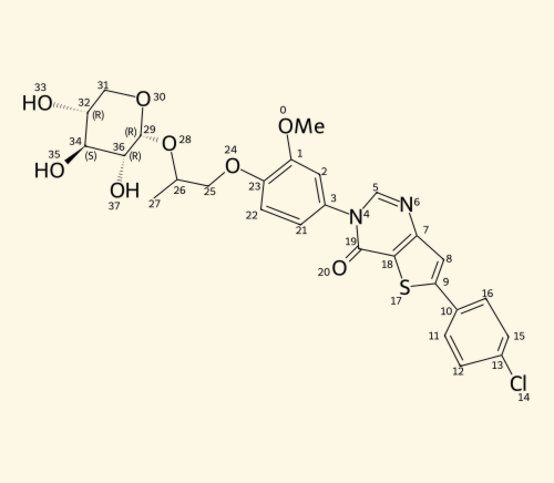 COc1cc(-n2cnc3cc(-c4ccc(Cl)cc4)sc3c2=O)ccc1OCC(C)O[C@H]1OC[C@@H](O)[C@H](O)[C@H]1O